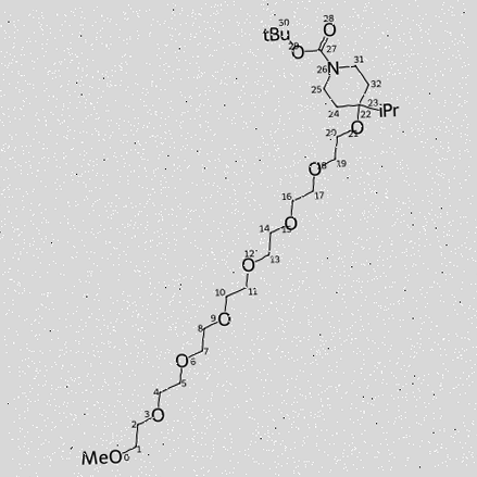 COCCOCCOCCOCCOCCOCCOCCOC1(C(C)C)CCN(C(=O)OC(C)(C)C)CC1